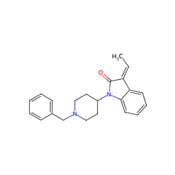 CC=C1C(=O)N(C2CCN(Cc3ccccc3)CC2)c2ccccc21